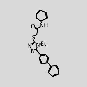 CCn1c(SCC(=O)NC2C=CC=CC2)nnc1-c1ccc(-c2ccccc2)cc1